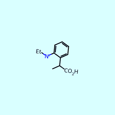 CC[N]c1ccccc1C(C)C(=O)O